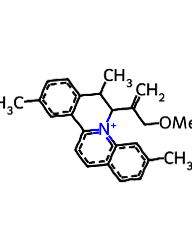 C=C(COC)C1C(C)c2ccc(C)cc2-c2ccc3ccc(C)cc3[n+]21